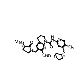 CO[C@@H]1CCN(Cc2cc3c(nc2C=O)N(C(=O)Nc2cc(S[C@@H]4CCOC4)c(C#N)cn2)CCC3)C1=O